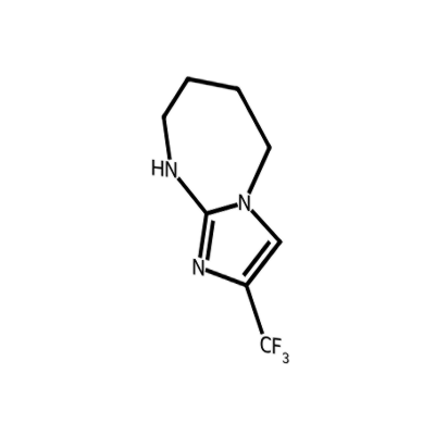 FC(F)(F)c1cn2c(n1)NCCCC2